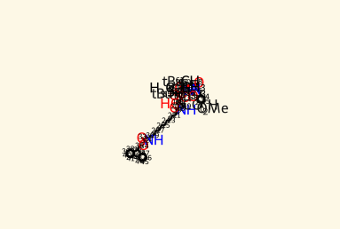 COc1ccc(Cn2c(=O)ccn([C@@H]3OC([C@H](O)[C@H](NC(=O)CCCCCCCCCCNC(=O)OCC4c5ccccc5-c5ccccc54)C(=O)O)[C@@H](O[Si](C)(C)C(C)(C)C)[C@H]3O[Si](C)(C)C(C)(C)C)c2=O)cc1